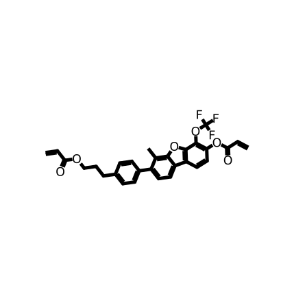 C=CC(=O)OCCCc1ccc(-c2ccc3c(oc4c(OC(F)(F)F)c(OC(=O)C=C)ccc43)c2C)cc1